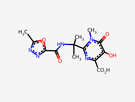 Cc1nnc(C(=O)NC(C)(C)c2nc(C(=O)O)c(O)c(=O)n2C)o1